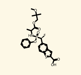 COC(C)(C)COC(=O)C(C)NP(=O)(Oc1ccccc1)[C@@H](F)c1ccc2sc(C(=O)O)cc2c1